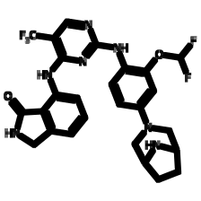 O=C1NCc2cccc(Nc3nc(Nc4ccc(N5CC6CCC(C5)N6)cc4OC(F)F)ncc3C(F)(F)F)c21